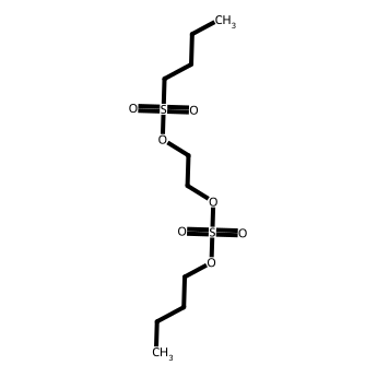 CCCCOS(=O)(=O)OCCOS(=O)(=O)CCCC